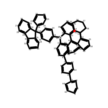 c1ccc(-c2ccc(-c3ccc(N(c4ccc(C5(c6ccccc6)c6ccccc6-c6ccccc65)cc4)c4ccccc4-c4cccc5cccc(C6CCCCC6)c45)cc3)cc2)cc1